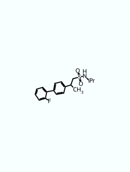 CC(C)NS(=O)(=O)CC(C)c1ccc(-c2ccccc2F)cc1